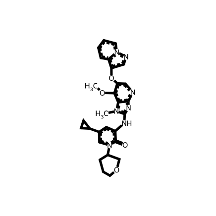 COc1c(Oc2cnn3ccccc23)cnc2nc(Nc3cc(C4CC4)cn(C4CCCOC4)c3=O)n(C)c12